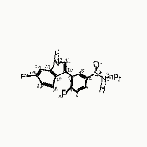 CCCN[S+]([O-])c1ccc(F)c(-c2c[nH]c3cc(F)ccc23)c1